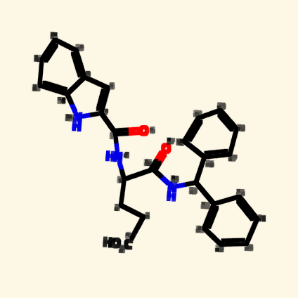 O=C(O)CCC(NC(=O)c1cc2ccccc2[nH]1)C(=O)NC(c1ccccc1)c1ccccc1